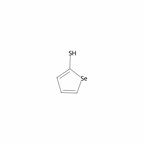 Sc1ccc[se]1